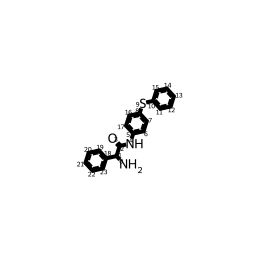 NC(C(=O)Nc1ccc(Sc2ccccc2)cc1)c1ccccc1